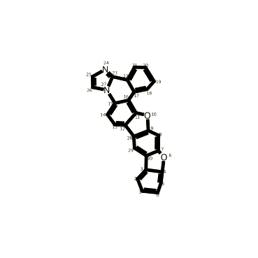 c1ccc2c(c1)oc1cc3oc4c(ccc5c4c4ccccc4c4nccn54)c3cc12